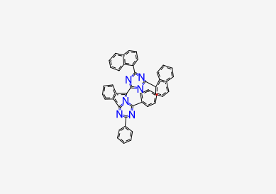 c1ccc(-c2nc(-c3ccccc3)n3c(-c4nc(-c5cccc6ccccc56)nc(-c5cccc6ccccc56)n4)c4ccccc4c3n2)cc1